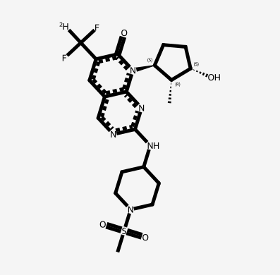 [2H]C(F)(F)c1cc2cnc(NC3CCN(S(C)(=O)=O)CC3)nc2n([C@H]2CC[C@H](O)[C@@H]2C)c1=O